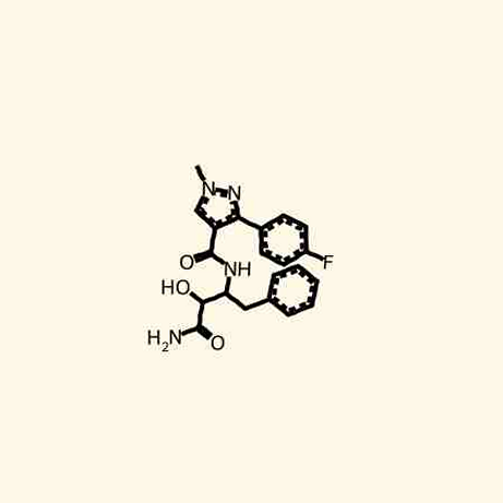 Cn1cc(C(=O)NC(Cc2ccccc2)C(O)C(N)=O)c(-c2ccc(F)cc2)n1